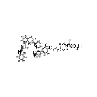 Cc1c(OCCCC2CCN([C@@H](C)C(=O)O)CC2)cccc1-c1ccc(N2CCc3cccc(C(=O)Nc4nc5ccccc5s4)c3C2)nc1C(=O)OC(C)(C)C